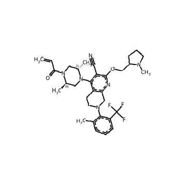 C=CC(=O)N1C[C@H](C)N(c2c(C#N)c(OCC3CCCN3C)nc3c2CCN(c2c(C)cccc2C(F)(F)F)C3)C[C@H]1C